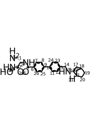 NC[C@H](NC(=O)c1ccc(-c2ccc(CN[C@@H]3CC4CC[C@@H]3C4)cc2)cc1)C(=O)NO